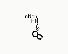 CCCCCCCCCCNCCOc1cccc2ccccc12